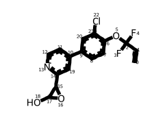 C=CC(F)(F)Oc1ccc(-c2ccnc(C3OC3O)c2)cc1Cl